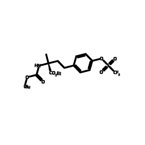 CCOC(=O)[C@@](C)(CCc1ccc(OS(=O)(=O)C(F)(F)F)cc1)NC(=O)OC(C)(C)C